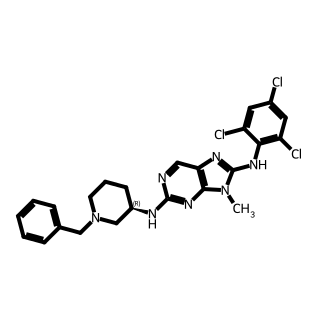 Cn1c(Nc2c(Cl)cc(Cl)cc2Cl)nc2cnc(N[C@@H]3CCCN(Cc4ccccc4)C3)nc21